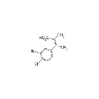 C/C(C(=O)O)=C(\C)c1ccc(Cl)c(Br)c1